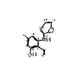 CCc1c(O)cc(C)cc1NC1=NCCO1